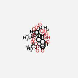 CC(=O)O[C@H]1C2C([C@@H]3[C@@H](O)[C@@H]4[C@H]([C@H](C)[C@@H]5O[C@@]56OC(=O)[C@@](C)(O)[C@]46C)[C@@]3(C)[C@H]1OC(C)=O)[C@@H](O)C(=O)[C@H]1C[C@@H]3O[C@@H]3[C@H](OC(C)=O)[C@]21C